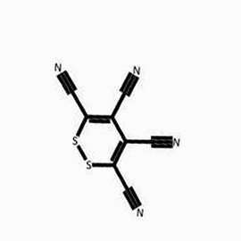 N#CC1=C(C#N)C(C#N)=C(C#N)SS1